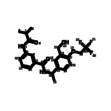 CC(C)C(=O)Nc1cc(C(=O)NC(C)c2cnc(OCC(F)(F)F)c(CO)c2)ccn1